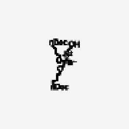 CCCCCCCCCCCCCCOC[C@H](C[N+](C)(C)CCO)OCCCCCCCCCCCCCC.[Br-]